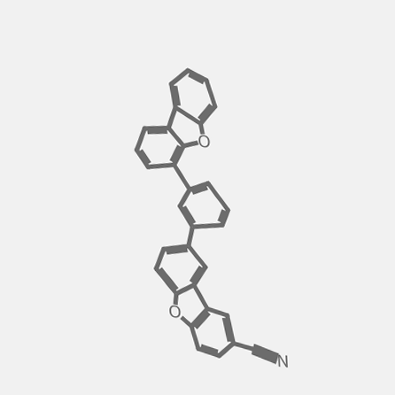 N#Cc1ccc2oc3ccc(-c4cccc(-c5cccc6c5oc5ccccc56)c4)cc3c2c1